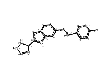 Clc1ccc(NCc2ccc3cc(C4N=NNN4)oc3c2)cn1